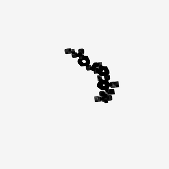 CCN(C)S(=O)(=O)Nc1ccc(F)c(Oc2ccc3ncc(OC4CCN(C(=O)OC(C)(C)C)CC4)nc3c2)c1C#N